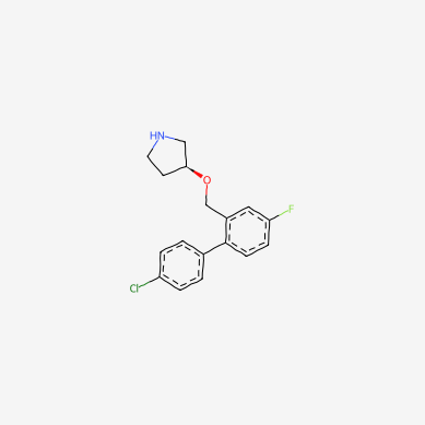 Fc1ccc(-c2ccc(Cl)cc2)c(CO[C@H]2CCNC2)c1